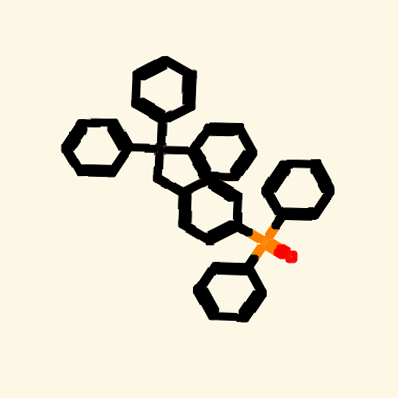 O=P(c1ccccc1)(c1ccccc1)c1ccc(C[Si](c2ccccc2)(c2ccccc2)c2ccccc2)cc1